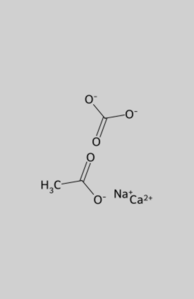 CC(=O)[O-].O=C([O-])[O-].[Ca+2].[Na+]